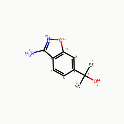 CCC(O)(CC)c1ccc2c(N)noc2c1